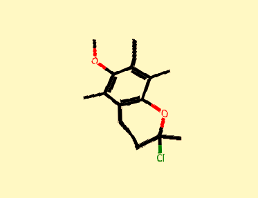 COc1c(C)c(C)c2c(c1C)CCC(C)(Cl)O2